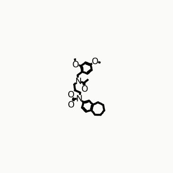 COc1ccc(CN(CC2CN(c3ccc4c(c3)CCCCC4)C(=O)O2)C(C)=O)c(OC)c1